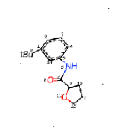 CC(C)(C)c1cccc(NC(=O)C2CCCO2)c1